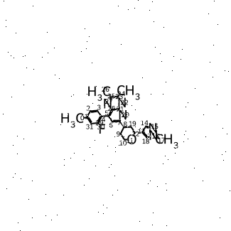 Cc1ccc(-c2cc([C@@H]3CCO[C@@H](c4cnn(C)c4)C3)nc3nc(C)c(C)nc23)c(F)c1